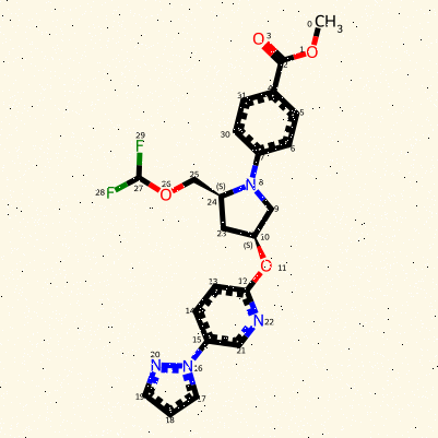 COC(=O)c1ccc(N2C[C@@H](Oc3ccc(-n4cccn4)cn3)C[C@H]2COC(F)F)cc1